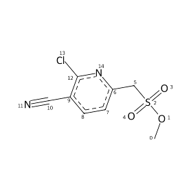 COS(=O)(=O)Cc1ccc(C#N)c(Cl)n1